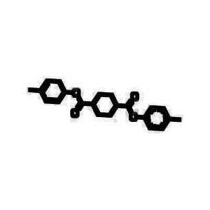 CC1=CCC(OC(=O)C2CCC(C(=O)Oc3ccc(C)cc3)CC2)C=C1